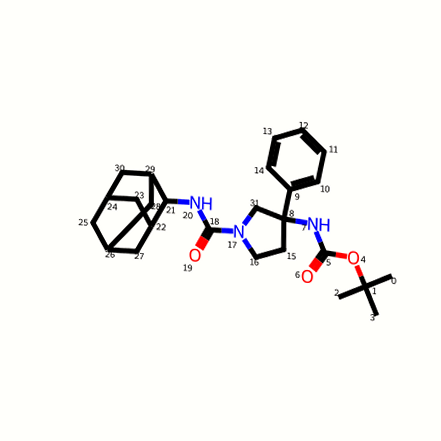 CC(C)(C)OC(=O)NC1(c2ccccc2)CCN(C(=O)NC2C3CC4CC(C3)CC2C4)C1